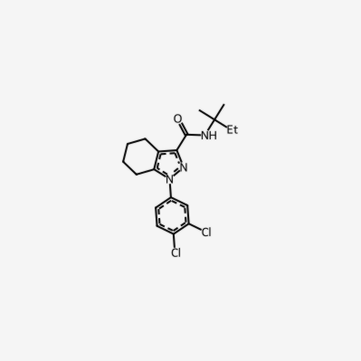 CCC(C)(C)NC(=O)c1nn(-c2ccc(Cl)c(Cl)c2)c2c1CCCC2